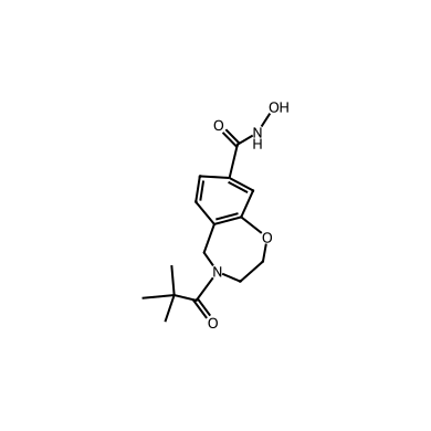 CC(C)(C)C(=O)N1CCOc2cc(C(=O)NO)ccc2C1